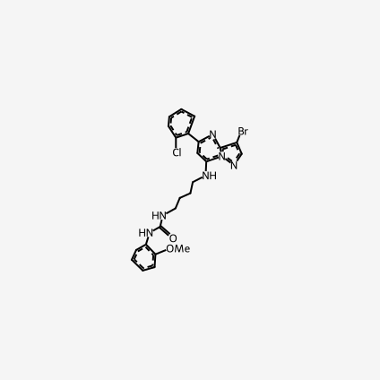 COc1ccccc1NC(=O)NCCCCNc1cc(-c2ccccc2Cl)nc2c(Br)cnn12